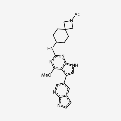 COc1nc(NC2CCC3(CC2)CN(C(C)=O)C3)nc2[nH]cc(-c3cnc4nccn4c3)c12